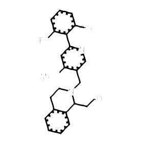 CCc1cccc(CC)c1-c1cc(OC)c(CN2CCc3ccccc3C2CC(C)C)cn1